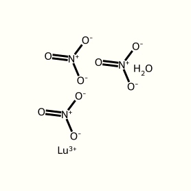 O.O=[N+]([O-])[O-].O=[N+]([O-])[O-].O=[N+]([O-])[O-].[Lu+3]